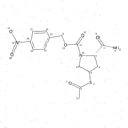 CC(=O)SC1C[C@@H](C(N)=O)N(C(=O)OCc2ccc([N+](=O)[O-])cc2)C1